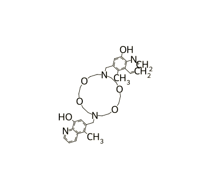 C=Cc1c(C)c(CN2CCOCCOCCN(Cc3cc(O)c4ncccc4c3C)CCOCCOCC2)cc(O)c1N=C